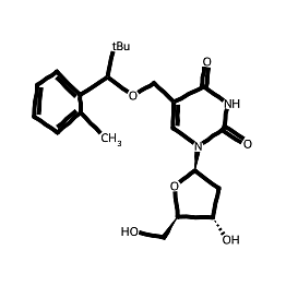 Cc1ccccc1C(OCc1cn([C@H]2C[C@H](O)[C@@H](CO)O2)c(=O)[nH]c1=O)C(C)(C)C